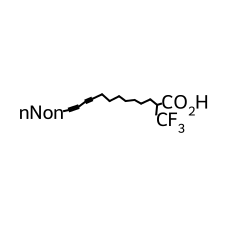 CCCCCCCCCC#CC#CCCCCCCCC(CC(F)(F)F)C(=O)O